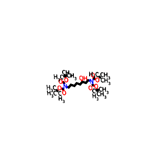 CC(C)(C)OC(=O)N(CCCCCC(O)CCN(C(=O)OC(C)(C)C)C(=O)OC(C)(C)C)C(=O)OC(C)(C)C